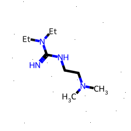 CCN(CC)C(=N)NCCN(C)C